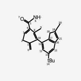 C=C1CC=C(C([NH])=O)C(C)=C1c1cc(C(C)(C)C)cc2c1CC(C)=C2